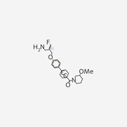 COC1CCCN(C(=O)C23CCC(c4ccc(OC/C(=C/F)CN)cc4)(CC2)CC3)C1